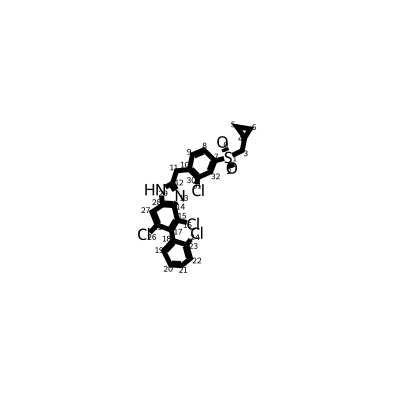 O=S(=O)(CC1CC1)c1ccc(Cc2nc3c(Cl)c(-c4ccccc4Cl)c(Cl)cc3[nH]2)c(Cl)c1